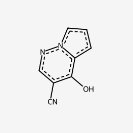 N#Cc1cnn2cccc2c1O